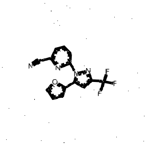 N#Cc1cccc(-n2nc(C(F)(F)F)cc2-c2ccco2)n1